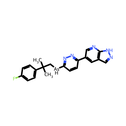 CC(C)(C[AsH]c1ccc(-c2cnc3[nH]ncc3c2)nn1)c1ccc(F)cc1